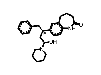 O=C1CCCc2cc([C@H](Cc3ccccc3)CC(O)N3CCCCC3)ccc2N1